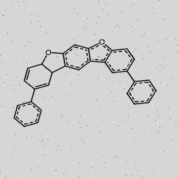 C1=CC2Oc3cc4oc5ccc(-c6ccccc6)cc5c4cc3C2C=C1c1ccccc1